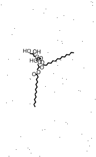 CCCCCCCCCCCCCC(=O)OCC(COP(=O)(O)OC[C@@H](O)CO)OC(=O)CCCCCCCCCCCCC